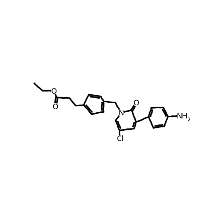 CCOC(=O)CCc1ccc(Cn2cc(Cl)cc(-c3ccc(N)cc3)c2=O)cc1